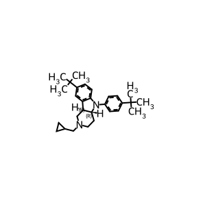 CC(C)(C)c1ccc(N2c3ccc(C(C)(C)C)cc3[C@@H]3CN(CC4CC4)CC[C@H]32)cc1